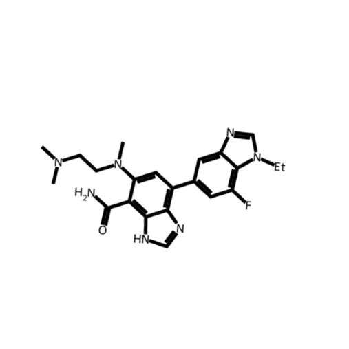 CCn1cnc2cc(-c3cc(N(C)CCN(C)C)c(C(N)=O)c4[nH]cnc34)cc(F)c21